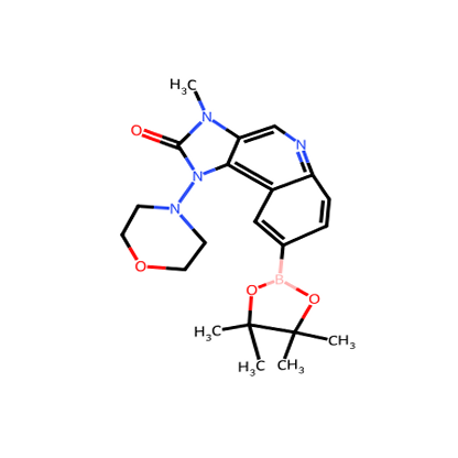 Cn1c(=O)n(N2CCOCC2)c2c3cc(B4OC(C)(C)C(C)(C)O4)ccc3ncc21